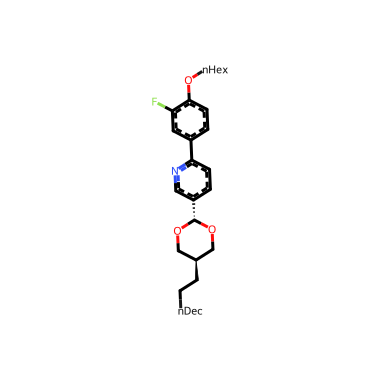 CCCCCCCCCCCC[C@H]1CO[C@H](c2ccc(-c3ccc(OCCCCCC)c(F)c3)nc2)OC1